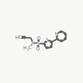 C#CCN(C)S(=O)(=O)c1ccc(-c2ccccn2)s1